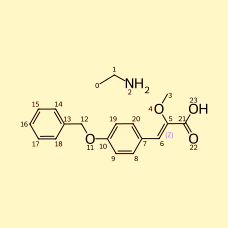 CCN.CO/C(=C\c1ccc(OCc2ccccc2)cc1)C(=O)O